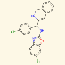 Clc1ccc(C(Nc2nc3ccc(Cl)cc3o2)C2=Cc3ccccc3CN2)cc1